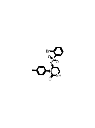 Cc1ccc(N2C(=O)NCCC2=NS(=O)(=O)c2ccccc2Br)cc1